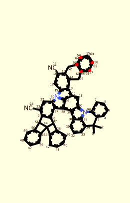 CC1(C)c2ccccc2-n2c3cc4c5c6c(c(C#N)cc5n5c7cc(C#N)c8c(c7c(c3c3cccc1c32)c45)C1c2ccccc2C12c1ccccc1C82)C1c2ccccc2C6c2ccccc21